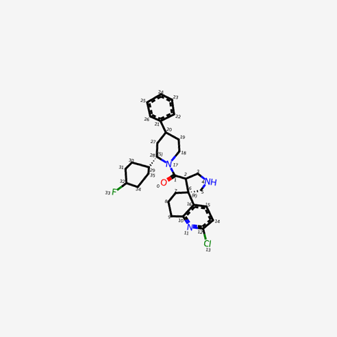 O=C(C1CNC[C@]12CCCc1nc(Cl)ccc12)N1CCC(c2ccccc2)C[C@H]1C1CCC(F)CC1